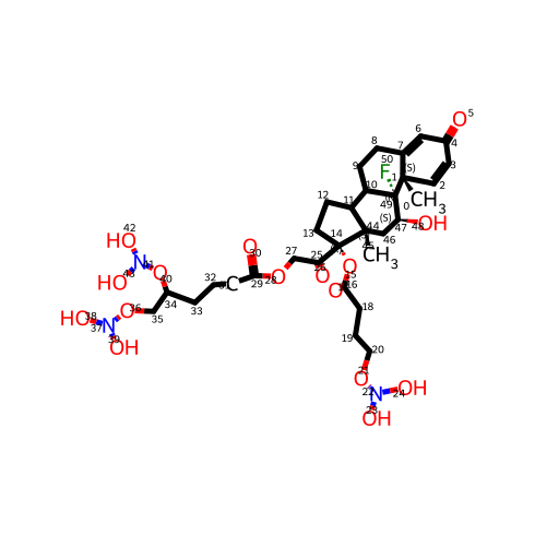 C[C@]12C=CC(=O)C=C1CCC1C3CC[C@](OC(=O)CCCON(O)O)(C(=O)COC(=O)CCCC(CON(O)O)ON(O)O)[C@@]3(C)C[C@H](O)[C@@]12F